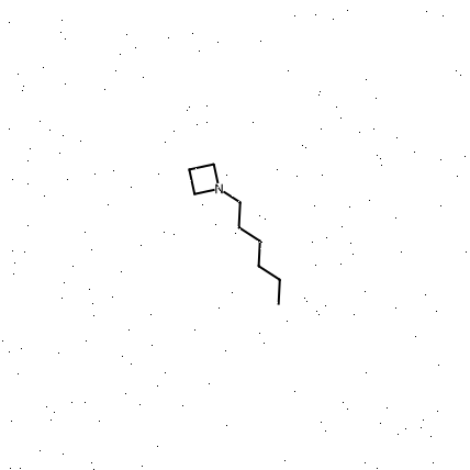 CCCCCCN1CCC1